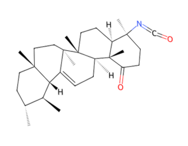 C[C@H]1[C@H](C)CC[C@]2(C)CC[C@]3(C)C(=CC[C@@H]4[C@@]5(C)C(=O)CC[C@](C)(N=C=O)[C@@H]5CC[C@]43C)[C@H]12